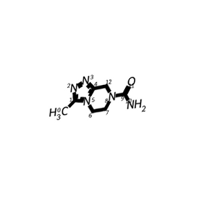 Cc1nnc2n1CCN(C(N)=O)C2